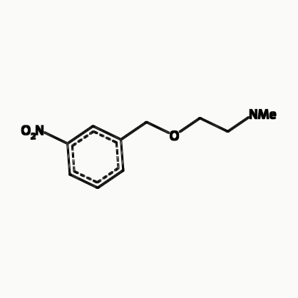 CNCCOCc1cccc([N+](=O)[O-])c1